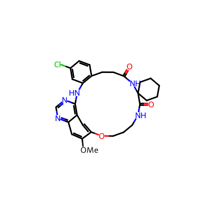 COc1cc2ncnc3c2cc1OCCCNC(=O)C1(CCCCC1)NC(=O)CCc1ccc(Cl)cc1N3